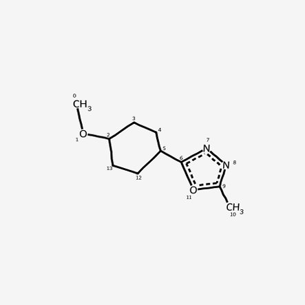 COC1CCC(c2nnc(C)o2)CC1